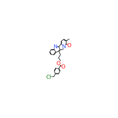 Cc1ccc2n(c1=O)Cc1c-2nc2ccccc2c1CCCOC(=O)c1ccc(CCl)cc1